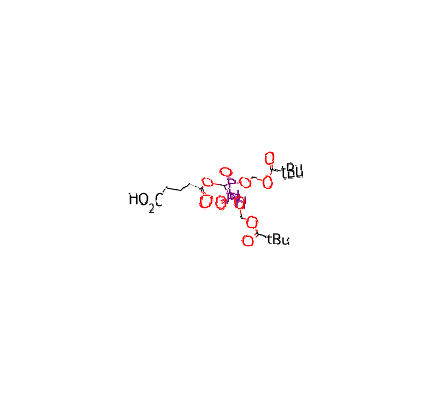 CC(C)(C)C(=O)OCO[PH](=O)C(OC(=O)CCCC(=O)O)[PH](=O)OCOC(=O)C(C)(C)C